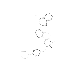 CCCCc1nn(-c2cccc(-c3cc(Nc4ccc(C5CCN(C)CC5)cn4)c(=O)n(C)n3)c2CO)c(=O)c2ccccc12